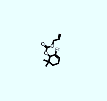 C=CCOC(=O)OC1C(CC)=CCCC1(C)C